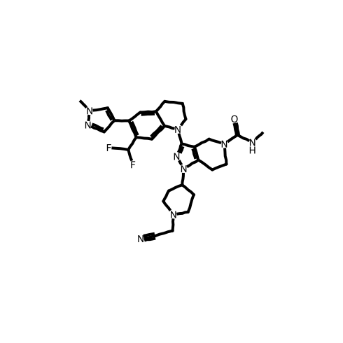 CNC(=O)N1CCc2c(c(N3CCCc4cc(-c5cnn(C)c5)c(C(F)F)cc43)nn2C2CCN(CC#N)CC2)C1